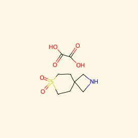 O=C(O)C(=O)O.O=S1(=O)CCC2(CC1)CNC2